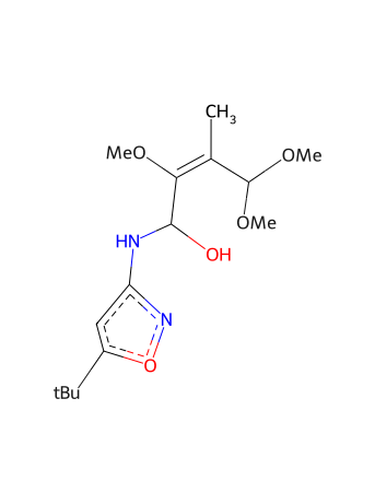 CO/C(=C(\C)C(OC)OC)C(O)Nc1cc(C(C)(C)C)on1